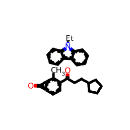 CCn1c2ccccc2c2ccccc21.Cc1c(C(=O)CCC2CCCC2)ccc2c(=O)c12